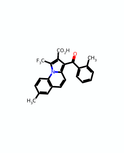 Cc1ccc2c(ccc3c(C(=O)c4ccccc4C)c(C(=O)O)c(C(F)(F)F)n32)c1